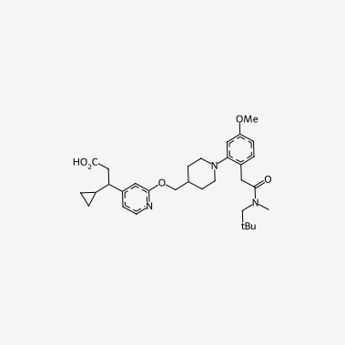 COc1ccc(CC(=O)N(C)CC(C)(C)C)c(N2CCC(COc3cc(C(CC(=O)O)C4CC4)ccn3)CC2)c1